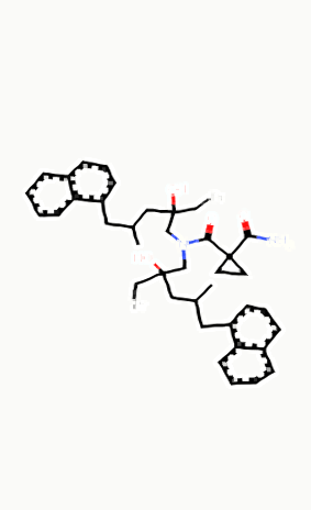 CC(C)CC(O)(CC(C)Cc1cccc2ccccc12)CN(CC(O)(CC(C)C)CC(C)Cc1cccc2ccccc12)C(=O)C1(C(N)=O)CC1